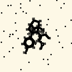 CCC(=NOC)[C@H]1[C@@H](c2ccc(I)cc2)CC2CC[C@H]1N2C